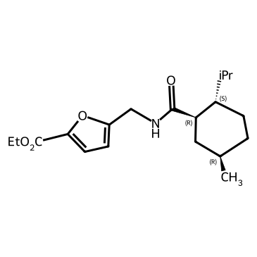 CCOC(=O)c1ccc(CNC(=O)[C@@H]2C[C@H](C)CC[C@H]2C(C)C)o1